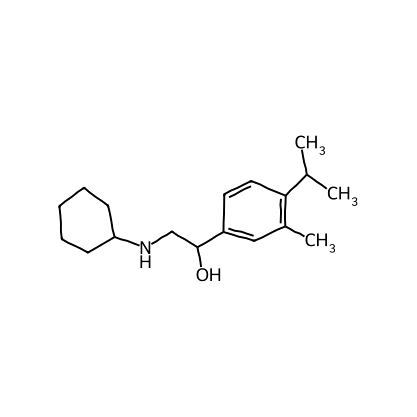 Cc1cc(C(O)CNC2CCCCC2)ccc1C(C)C